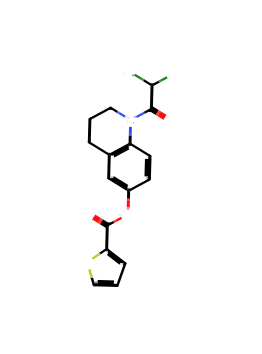 O=C(Oc1ccc2c(c1)CCCN2C(=O)C(Cl)Cl)c1cccs1